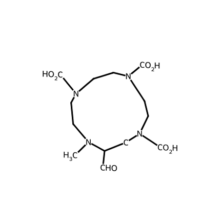 CN1CCN(C(=O)O)CCN(C(=O)O)CCN(C(=O)O)CC1C=O